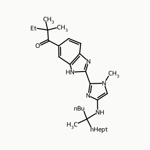 CCCCCCCC(C)(CCCC)Nc1cn(C)c(-c2nc3ccc(C(=O)C(C)(C)CC)cc3[nH]2)n1